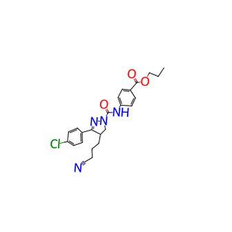 CCCOC(=O)c1ccc(NC(=O)N2CC(CCCC#N)C(c3ccc(Cl)cc3)=N2)cc1